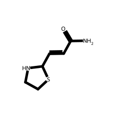 NC(=O)C=CC1NCCS1